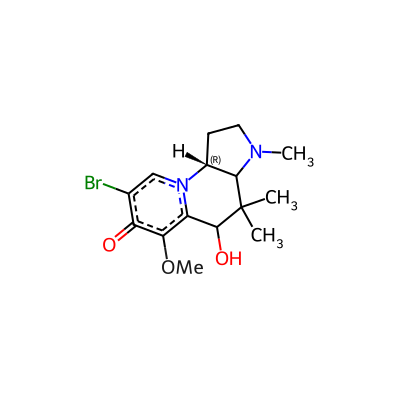 COc1c2n(cc(Br)c1=O)[C@@H]1CCN(C)C1C(C)(C)C2O